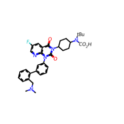 CN(C)Cc1ccccc1-c1cccc(-n2c(=O)n(C3CCC(N(C(=O)O)C(C)(C)C)CC3)c(=O)c3cc(F)cnc32)c1